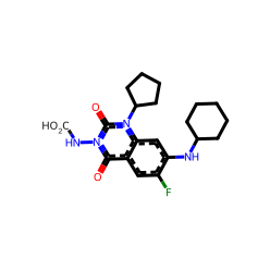 O=C(O)Nn1c(=O)c2cc(F)c(NC3CCCCC3)cc2n(C2CCCC2)c1=O